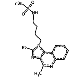 CCCCS(=O)(=O)NCCCCn1c(CC)nc2c(C)nc3ccccc3c21